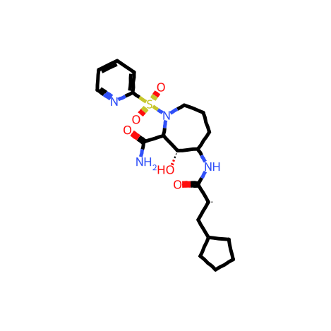 NC(=O)C1[C@@H](O)C(NC(=O)[CH]CC2CCCC2)CCCN1S(=O)(=O)c1ccccn1